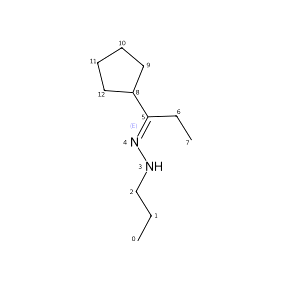 CCCN/N=C(\CC)C1CCCC1